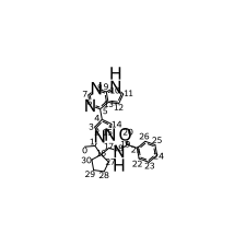 CC(n1cc(-c2ncnc3[nH]ccc23)cn1)C1(CNC(=O)c2ccccc2)CCCC1